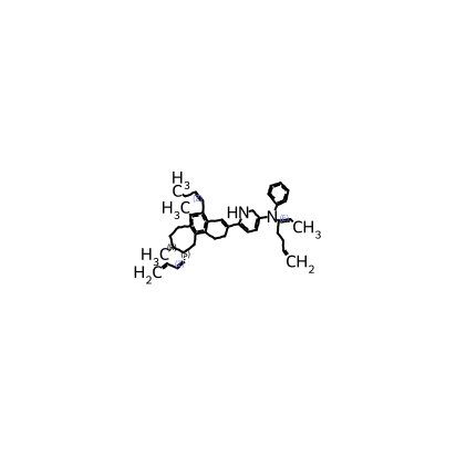 C=C/C=C\[C@H]1Cc2c(c(C)c(/C=C\CC)c3c2CCC(C2=CC=C(N(/C(=C/C)CCC=C)c4ccccc4)CN2)=C3)CC[C@H]1C